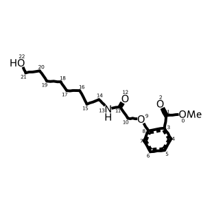 COC(=O)c1ccccc1OCC(=O)NCCCCCCCCO